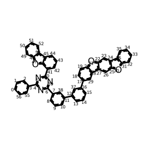 c1ccc(-c2nc(-c3cccc(-c4cccc(-c5ccc6oc7cc8c(cc7c6c5)oc5ccccc58)c4)c3)nc(-c3cccc4c3oc3ccccc34)n2)cc1